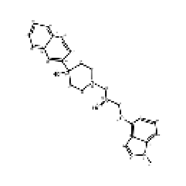 Cn1ccc2c(OC[C@@H](O)CN3CCC(O)(c4cnc5ccccc5c4)CC3)cccc21